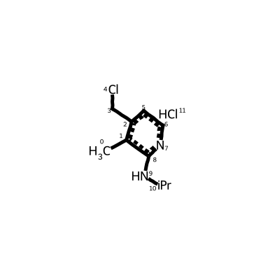 Cc1c(CCl)ccnc1NC(C)C.Cl